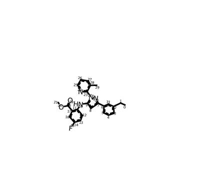 CCc1cccc(-c2cc(Nc3ccc(F)cc3C(=O)OC)n(-c3ncccc3C)n2)c1